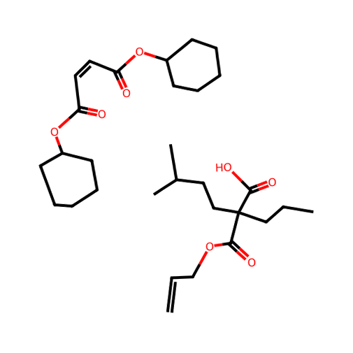 C=CCOC(=O)C(CCC)(CCC(C)C)C(=O)O.O=C(/C=C\C(=O)OC1CCCCC1)OC1CCCCC1